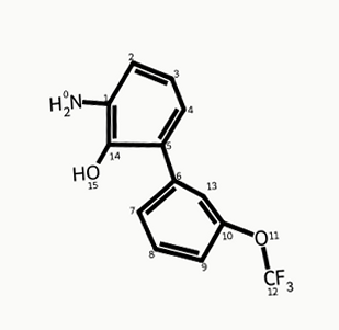 Nc1cccc(-c2cccc(OC(F)(F)F)c2)c1O